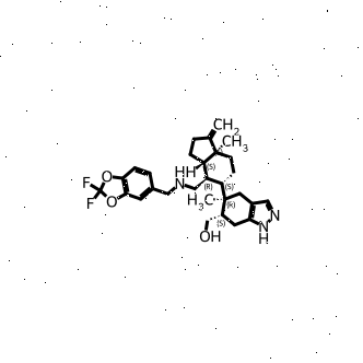 C=C1CC[C@H]2[C@H](CNCc3ccc4c(c3)OC(F)(F)O4)[C@@H]([C@@]3(C)Cc4cn[nH]c4C[C@@H]3CO)CC[C@]12C